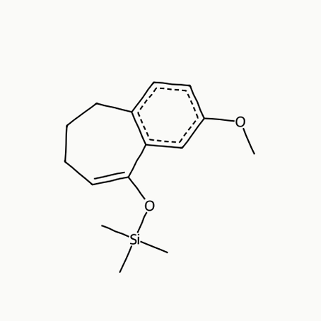 COc1ccc2c(c1)C(O[Si](C)(C)C)=CCCC2